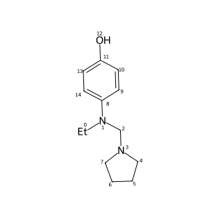 CCN(CN1CCCC1)c1ccc(O)cc1